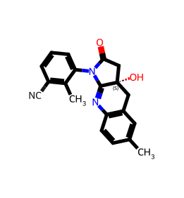 Cc1ccc2c(c1)C[C@]1(O)CC(=O)N(c3cccc(C#N)c3C)C1=N2